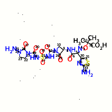 CC(C)(ON=C(C(=O)N[C@H]1CN(C(=O)NS(=O)(=O)NC(=O)N2CCN(N)C2=O)C1=O)c1csc(N)n1)C(=O)O